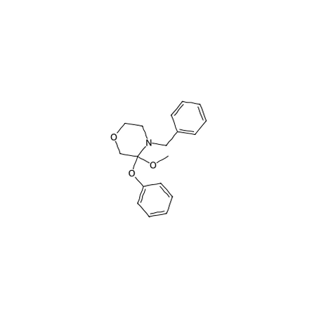 COC1(Oc2ccccc2)COCCN1Cc1ccccc1